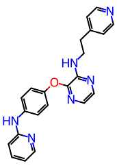 c1ccc(Nc2ccc(Oc3nccnc3NCCc3ccncc3)cc2)nc1